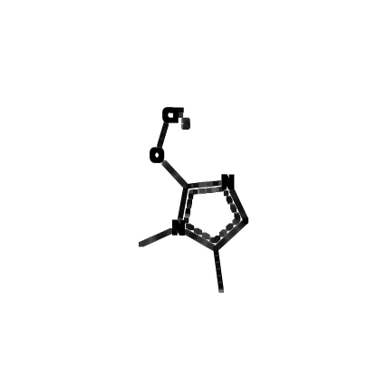 Cc1cnc(OC(F)(F)F)n1C